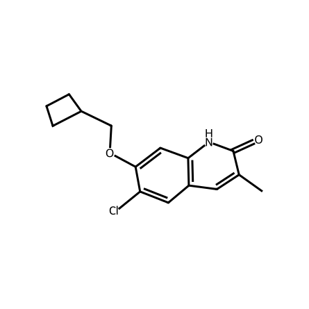 Cc1cc2cc(Cl)c(OCC3CCC3)cc2[nH]c1=O